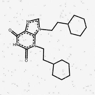 O=c1[nH]c(=O)n(CCC2CCCCC2)c2c1n[c]n2CCC1CCCCC1